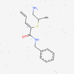 C=C/C=C(\SC(CN)CCC)C(=O)NCc1ccccc1